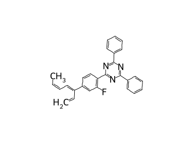 C=C/C(=C\C=C/C)c1ccc(-c2nc(-c3ccccc3)nc(-c3ccccc3)n2)c(F)c1